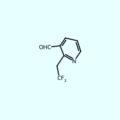 O=Cc1cccnc1CC(F)(F)F